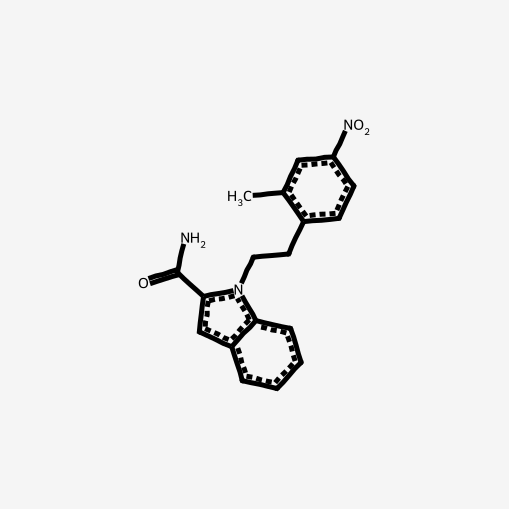 Cc1cc([N+](=O)[O-])ccc1CCn1c(C(N)=O)cc2ccccc21